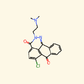 CN(C)CCn1nc2c3c(c(Cl)ccc3c1=O)C(=O)c1ccccc1-2